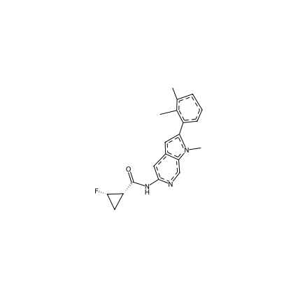 Cc1cccc(-c2cc3cc(NC(=O)[C@@H]4C[C@@H]4F)ncc3n2C)c1C